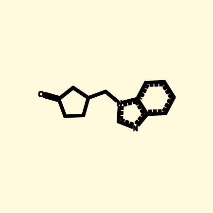 O=C1CCC(Cn2cnc3ccccc32)C1